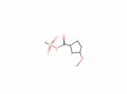 COC1CCC(C(=O)OS(C)(=O)=O)C1